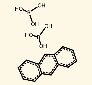 OB(O)O.OB(O)O.c1ccc2cc3ccccc3cc2c1